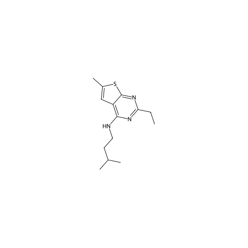 CCc1nc(NCCC(C)C)c2cc(C)sc2n1